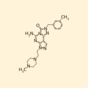 Cc1cccc(Cn2nc3c4cnn(CCN5CCN(C)CC5)c4nc(N)n3c2=O)c1